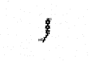 CC(O)CCCC=Cc1ccc(-c2ccc(-c3ccc(O)cc3)cc2)cn1